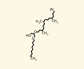 C=CCCCCCCCOCC(CO)OCCC(C)CCC[C@H](C)CCC[C@H](C)CCCC(C)C